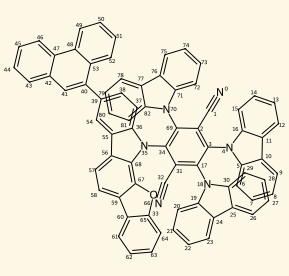 N#Cc1c(-n2c3ccccc3c3ccccc32)c(-n2c3ccccc3c3ccccc32)c(C#N)c(-n2c3ccc(-c4cc5ccccc5c5ccccc45)cc3c3ccc4c5ccccc5oc4c32)c1-n1c2ccccc2c2ccccc21